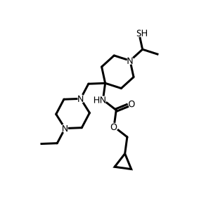 CCN1CCN(CC2(NC(=O)OCC3CC3)CCN(C(C)S)CC2)CC1